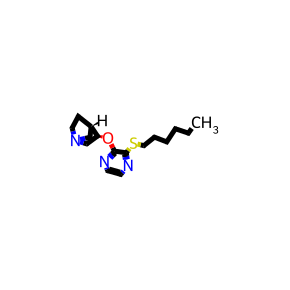 CCCCCCSc1nccnc1O[C@H]1CN2CC[C@@H]1C2